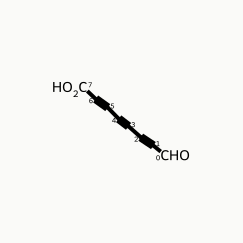 O=CC#CC#CC#CC(=O)O